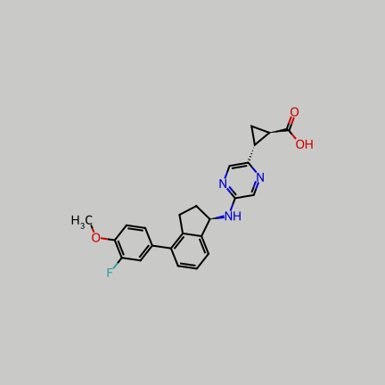 COc1ccc(-c2cccc3c2CC[C@H]3Nc2cnc([C@@H]3C[C@H]3C(=O)O)cn2)cc1F